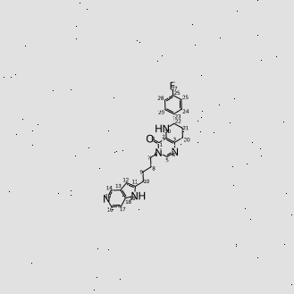 O=c1c2c(ncn1CCCCc1cc3cnccc3[nH]1)CC[C@@H](c1ccc(F)cc1)N2